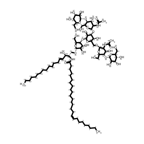 CCCCCCCC/C=C\CCCCCCCCCCCCCCCC(=O)N[C@@H](CO[C@@H]1OC(CO)[C@@H](O[C@@H]2OC(CO[C@@H]3OC(CO)[C@@H](O[C@@H]4OC(CO)[C@H](O)[C@H](O)C4O)[C@H](O)C3NC(C)=O)[C@H](O)[C@H](O[C@@H]3OC(CO)[C@@H](O[C@@H]4OC(CO)[C@H](O)[C@H](O)C4O)[C@H](O)C3NC(C)=O)C2O)[C@H](O)C1O)[C@H](O)/C=C/CCCCCCCCCCCCC